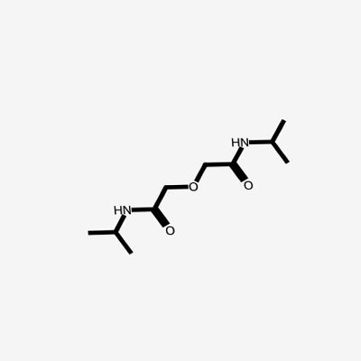 CC(C)NC(=O)COCC(=O)NC(C)C